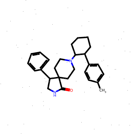 Cc1ccc(C2CCCCC2N2CCC3(CC2)C(=O)NCC3c2ccccc2)cc1